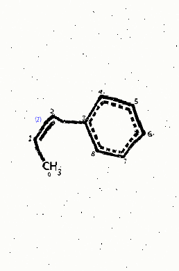 C/C=C\c1ccccc1